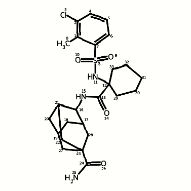 Cc1c(Cl)cccc1S(=O)(=O)NC1(C(=O)NC2C3CC4CC2CC(C(N)=O)(C4)C3)CCCCC1